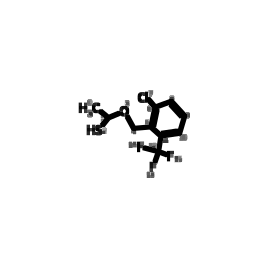 CC(S)OCc1c(Cl)cccc1C(F)(F)F